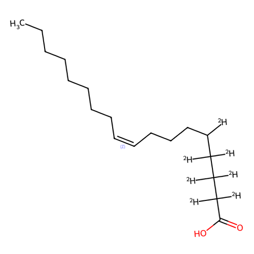 [2H]C(CCC/C=C\CCCCCCCC)C([2H])([2H])C([2H])([2H])C([2H])([2H])C(=O)O